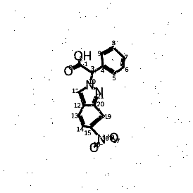 O=C(O)C(c1ccccc1)n1cc2ccc([N+](=O)[O-])cc2n1